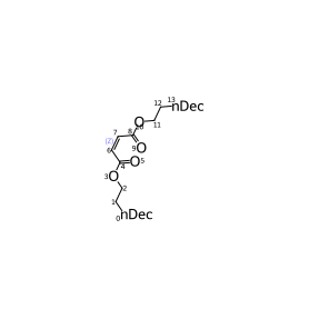 CCCCCCCCCCCCOC(=O)/C=C\C(=O)OCCCCCCCCCCCC